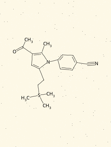 CC(=O)c1cc(CCS(C)(C)C)n(-c2ccc(C#N)cc2)c1C